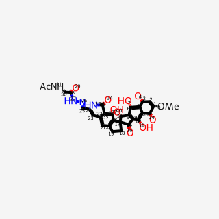 COC1=CC(=O)c2c(O)c3c(c(O)c2C1=O)C(=O)C1(CCc2cc4cc(C=NNC(=O)CNC(C)=O)[nH]c(=O)c4c(O)c21)C3=O